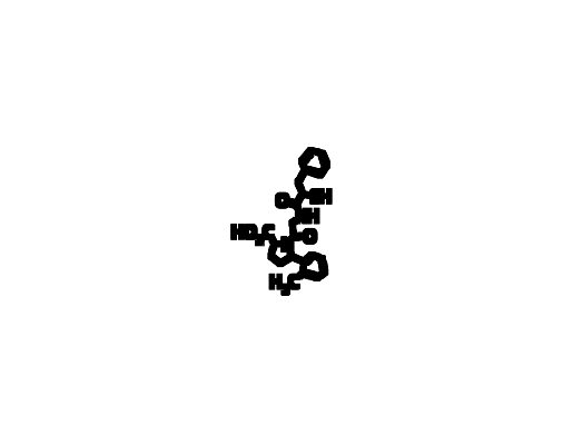 Cc1ccccc1C1CCC(C(=O)O)N1C(=O)CNC(=O)C(S)Cc1ccccc1